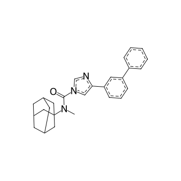 CN(C(=O)n1cnc(-c2cccc(-c3ccccc3)c2)c1)C12CC3CC(CC(C3)C1)C2